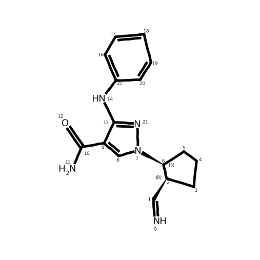 N=C[C@@H]1CCC[C@@H]1n1cc(C(N)=O)c(Nc2ccccc2)n1